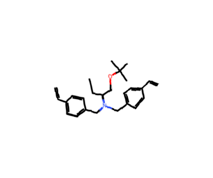 C=Cc1ccc(CN(Cc2ccc(C=C)cc2)C(CC)COC(C)(C)C)cc1